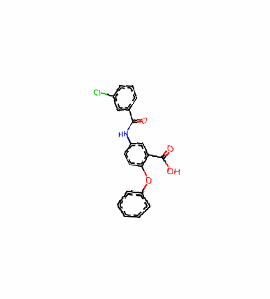 O=C(Nc1ccc(Oc2ccccc2)c(C(=O)O)c1)c1cccc(Cl)c1